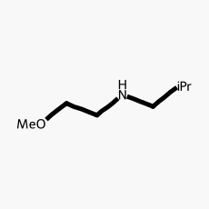 COCCNCC(C)C